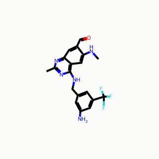 CNc1cc2c(NCc3cc(N)cc(C(F)(F)F)c3)nc(C)nc2cc1C=O